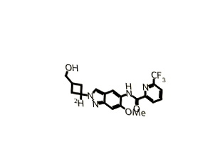 [2H]C1(n2cc3cc(NC(=O)c4cccc(C(F)(F)F)n4)c(OC)cc3n2)CC(CO)C1